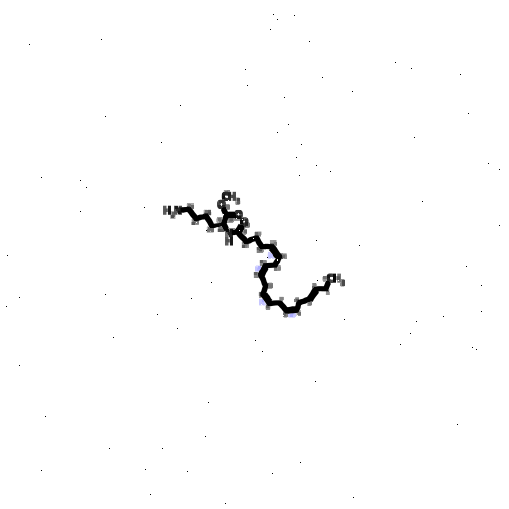 CCC=CC/C=C\C/C=C\C/C=C\C/C=C\CCCC(=O)N[C@@H](CCCCN)C(=O)OC